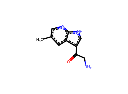 Cc1cnc2[nH]cc(C(=O)CN)c2c1